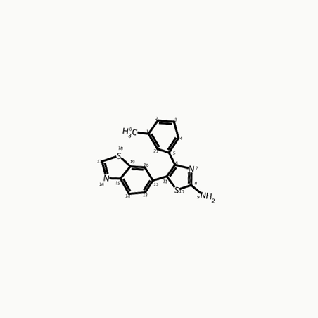 Cc1cccc(-c2nc(N)sc2-c2ccc3ncsc3c2)c1